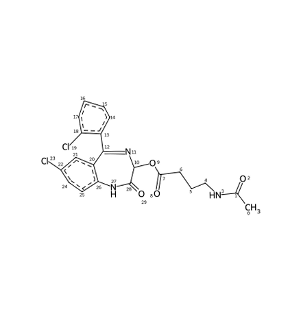 CC(=O)NCCCC(=O)OC1N=C(c2ccccc2Cl)c2cc(Cl)ccc2NC1=O